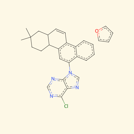 CC1(C)CCC2c3cc(-n4cnc5c(Cl)ncnc54)c4ccccc4c3C=CC2C1.c1ccoc1